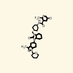 Cc1nn(C2CCCCO2)c2ccc(-n3c(=O)n(C[C@H]4CC[C@H](NC(=O)c5cc(Cl)cnc5C(F)(F)F)CC4)c4ccccc43)cc12